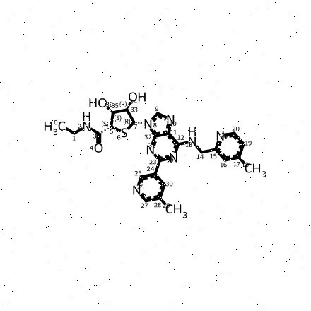 CCNC(=O)[C@H]1S[C@@H](n2cnc3c(NCc4cc(C)ccn4)nc(-c4cncc(C)c4)nc32)[C@H](O)[C@@H]1O